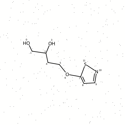 OCC(O)CCOc1ccns1